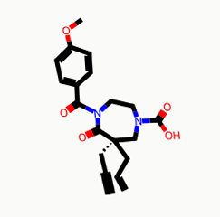 C#CC[C@@]1(CC=C)CN(C(=O)O)CCN(C(=O)c2ccc(OC)cc2)C1=O